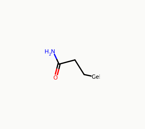 NC(=O)C[CH2][Ge]